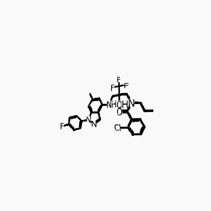 CCCN(CC(O)(CNc1cc(C)cc2c1cnn2-c1ccc(F)cc1)C(F)(F)F)C(=O)c1ccccc1Cl